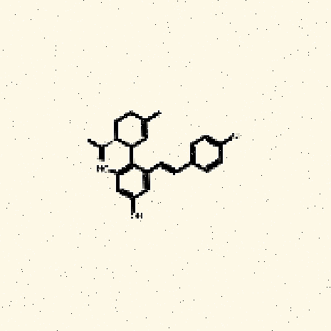 C=C(C)[C@H]1CCC(C)=CC1c1c(O)cc(O)cc1/C=C/c1ccc(O)cc1